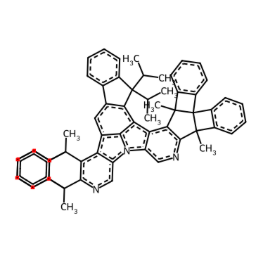 CC(C)C1(C(C)C)c2ccccc2-c2cc3c4c5c(ncc4n4c6cnc7c(c6c(c21)c34)C1(C)c2ccccc2C12c1ccccc1C72C)C1(C)c2ccccc2C5(C)c2ccccc21